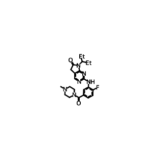 CCC(CC)N1C(=O)Cc2cnc(Nc3cc(C(=O)N4CCN(C)CC4)ccc3F)nc21